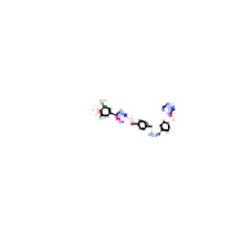 Cc1cncc(Oc2ccc(CN(C)Cc3ccc(COc4ncc(-c5cc(Cl)c(O)c(Cl)c5)nn4)cc3)cc2)n1